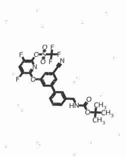 CC(C)(C)OC(=O)NCc1cccc(-c2cc(C#N)cc(Oc3nc(OS(=O)(=O)C(F)(F)F)c(F)cc3F)c2)c1